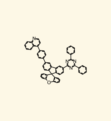 c1ccc(-c2nc(-c3ccccc3)nc(-c3ccc4c(c3)-c3cc(-c5ccc(-c6ccnc7ccccc67)cc5)ccc3C43c4ccccc4Oc4ccccc43)n2)cc1